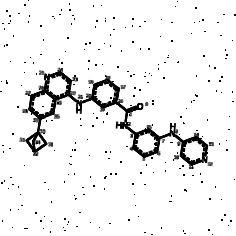 O=C(Nc1cccc(Nc2ccncc2)c1)c1cccc(Nc2ccnc3ccc(C45CC(C4)C5)cc23)c1